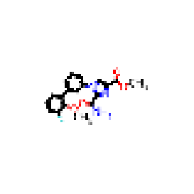 COC(=O)c1cn(-c2cccc(-c3cccc(F)c3OC)c2)c(C(N)=O)n1